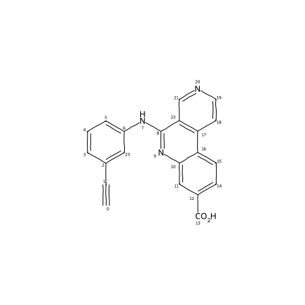 C#Cc1cccc(Nc2nc3cc(C(=O)O)ccc3c3ccncc23)c1